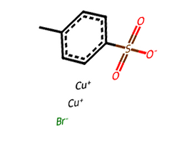 Cc1ccc(S(=O)(=O)[O-])cc1.[Br-].[Cu+].[Cu+]